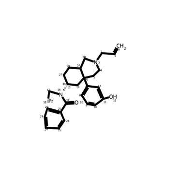 C=CCN1CCC2(c3cccc(O)c3)C[C@H](N(CC(C)C)C(=O)c3ccccc3)CCC2C1